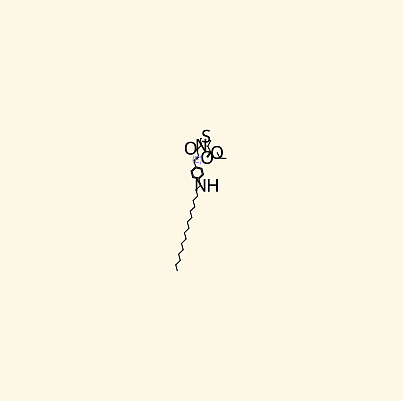 CCCCCCCCCCCCCCCCNc1ccc(/C=C/C(=O)N2CSCC2C(=O)OCC)cc1